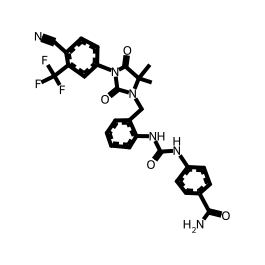 CC1(C)C(=O)N(c2ccc(C#N)c(C(F)(F)F)c2)C(=O)N1Cc1ccccc1NC(=O)Nc1ccc(C(N)=O)cc1